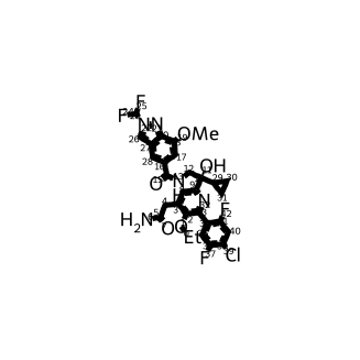 CCOc1c(CC(N)=O)cc([C@@](O)(CNC(=O)c2cc(OC)c3nn(C(F)F)cc3c2)C2CC2)nc1-c1cc(F)c(Cl)cc1F